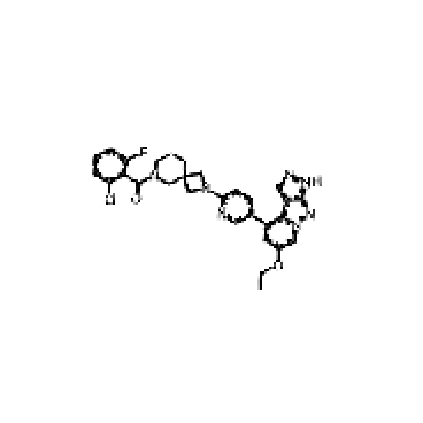 CCOc1cc(-c2ccc(N3CC4(CCCN(C(=O)c5c(F)cccc5Cl)C4)C3)nc2)c2c3cn[nH]c3nn2c1